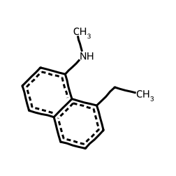 CCc1cccc2cccc(NC)c12